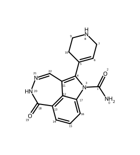 NC(=O)n1c(C2=CCNCC2)c2c3c(c[c]cc31)C(=O)NN=C2